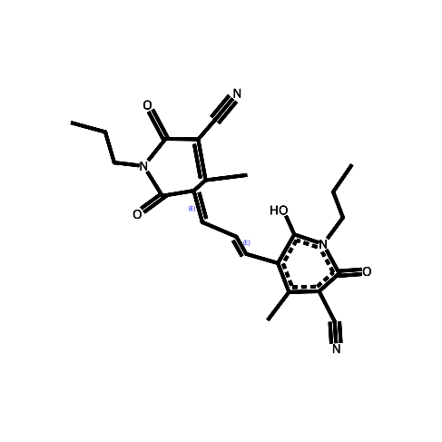 CCCN1C(=O)C(C#N)=C(C)/C(=C\C=C\c2c(C)c(C#N)c(=O)n(CCC)c2O)C1=O